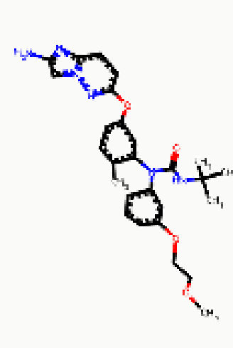 COCCOc1cccc(N(C(=O)NC(C)(C)C)c2cc(Oc3ccc4nc(N)cn4n3)ccc2C)c1